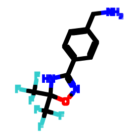 NCc1ccc(C2=NOC(C(F)(F)F)(C(F)(F)F)N2)cc1